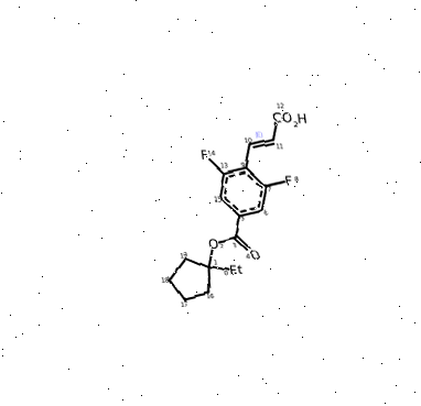 CCC1(OC(=O)c2cc(F)c(/C=C/C(=O)O)c(F)c2)CCCC1